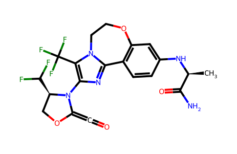 C[C@H](Nc1ccc2c(c1)OCCn1c-2nc(N2C(=C=O)OC[C@H]2C(F)F)c1C(F)(F)F)C(N)=O